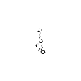 COc1ccc2nccc([C@H](O)CC[C@@H]3CCN(CCCCc4cncn4C)C[C@H]3CCC(=O)O)c2c1